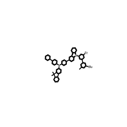 CCc1cc(-c2cc(C)cc(C(C)(C)C)c2)cc(-n2c3ccccc3c3cc(-c4ccc(N(c5ccc(-c6ccccc6)cc5)c5ccc6c(c5)C(C)(C)c5ccccc5-6)cc4)ccc32)c1